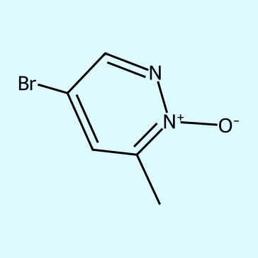 Cc1cc(Br)cn[n+]1[O-]